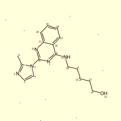 Cc1nccn1-c1nc(NCCSCCO)c2ccccc2n1